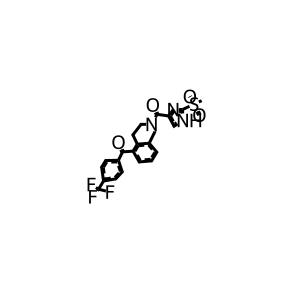 CS(=O)(=O)c1nc(C(=O)N2CCc3c(cccc3C(=O)c3ccc(C(F)(F)F)cc3)C2)c[nH]1